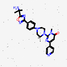 C[C@@H]1CN(c2ccc(-c3noc(C(C)(C)N)n3)cc2)CCN1c1nc(-c2ccncc2)cc(=O)n1C